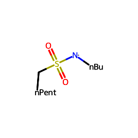 CCCCCCS(=O)(=O)[N]CCCC